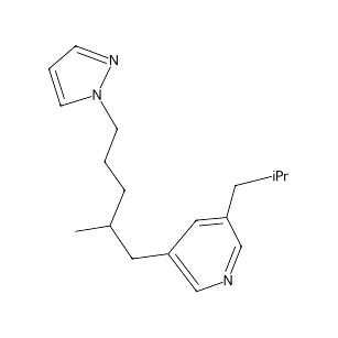 CC(C)Cc1cncc(CC(C)CCCn2cccn2)c1